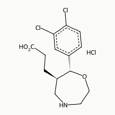 Cl.O=C(O)CC[C@@H]1CNCCO[C@H]1c1ccc(Cl)c(Cl)c1